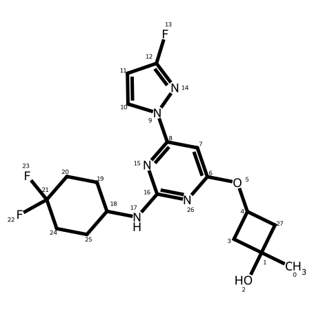 CC1(O)CC(Oc2cc(-n3ccc(F)n3)nc(NC3CCC(F)(F)CC3)n2)C1